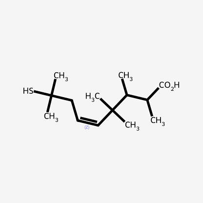 CC(C(=O)O)C(C)C(C)(C)/C=C\CC(C)(C)S